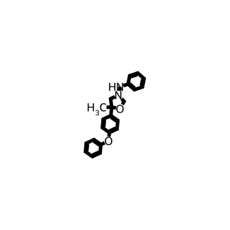 CC1(c2ccc(Oc3ccccc3)cc2)CN(Nc2ccccc2)CO1